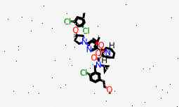 COCCc1ccc(Cl)c(CN(C(=O)[C@@H]2[C@@H](c3ccc(N4CC[C@@H](Oc5c(Cl)cc(C)cc5Cl)C4)nc3)C[C@@H]3CC[C@H]2N3C(=O)OC(C)(C)C)C2CC2)c1